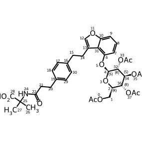 CC(=O)OC[C@H]1O[C@@H](Oc2cccc3occ(CCc4ccc(CCC(=O)NC(C)(C)C(=O)O)cc4)c23)[C@H](OC(C)=O)[C@@H](OC(C)=O)[C@@H]1OC(C)=O